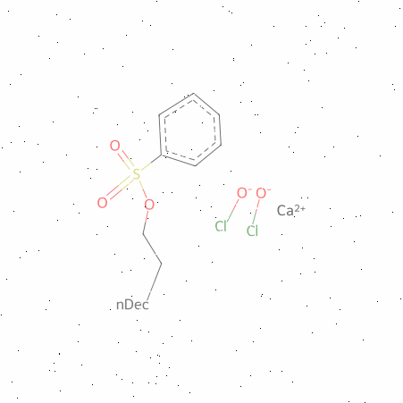 CCCCCCCCCCCCOS(=O)(=O)c1ccccc1.[Ca+2].[O-]Cl.[O-]Cl